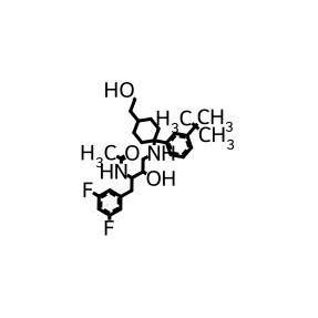 CC(=O)NC(Cc1cc(F)cc(F)c1)C(O)CNC1(c2cccc(C(C)(C)C)c2)CCC(CCO)CC1